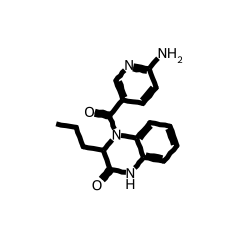 CCCC1C(=O)Nc2ccccc2N1C(=O)c1ccc(N)nc1